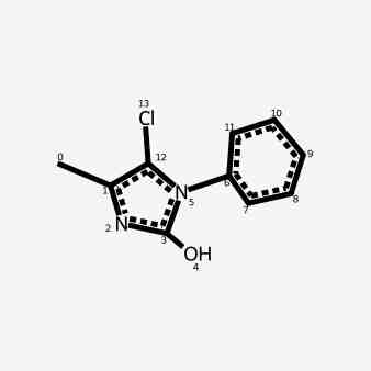 Cc1nc(O)n(-c2ccccc2)c1Cl